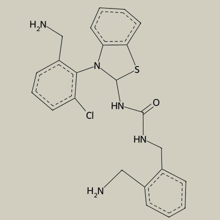 NCc1ccccc1CNC(=O)NC1Sc2ccccc2N1c1c(Cl)cccc1CN